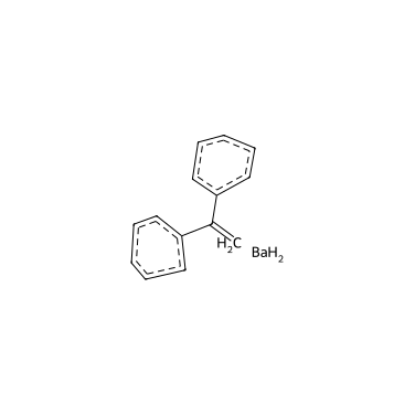 C=C(c1ccccc1)c1ccccc1.[BaH2]